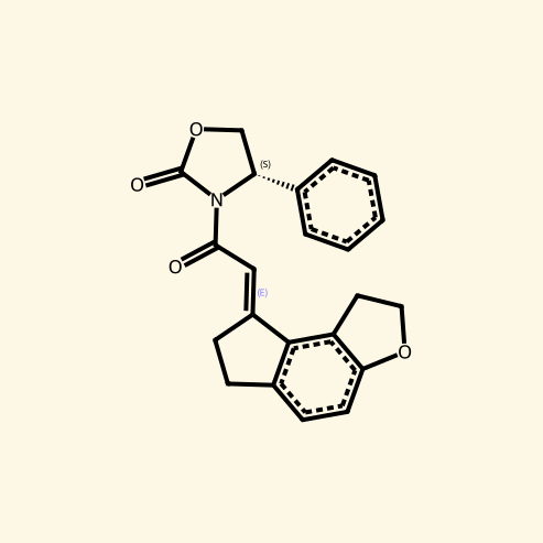 O=C(/C=C1\CCc2ccc3c(c21)CCO3)N1C(=O)OC[C@@H]1c1ccccc1